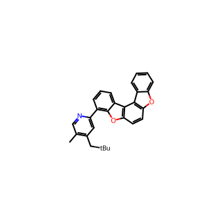 Cc1cnc(-c2cccc3c2oc2ccc4oc5ccccc5c4c23)cc1CC(C)(C)C